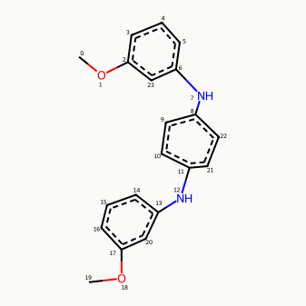 COc1cccc(Nc2ccc(Nc3cccc(OC)c3)cc2)c1